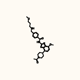 COCCCNCc1ccc(C(=O)Nc2nc3c(OC)ccc(C4CCN(C(C)=O)CC4)c3s2)cc1